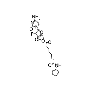 Nc1ccn([C@@H]2O[C@H](COC(=O)CCCCCCC(=O)Nc3ccccc3)[C@@H](O)C2F)c(=O)n1